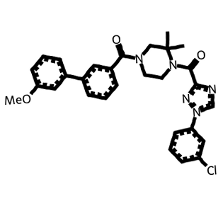 COc1cccc(-c2cccc(C(=O)N3CCN(C(=O)c4ncn(-c5cccc(Cl)c5)n4)C(C)(C)C3)c2)c1